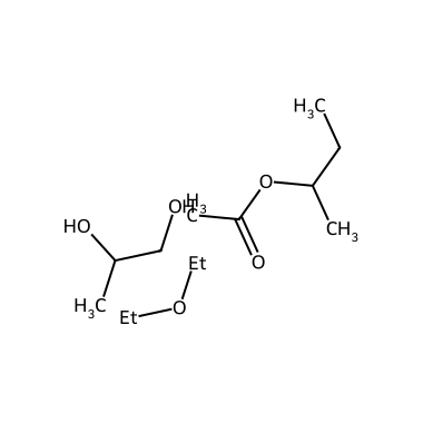 CC(O)CO.CCC(C)OC(C)=O.CCOCC